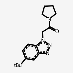 CC(C)(C)c1ccc2c(c1)nnn2CC(=O)N1CCCC1